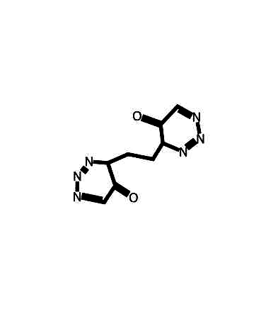 O=C1C=NN=NC1CCC1N=NN=CC1=O